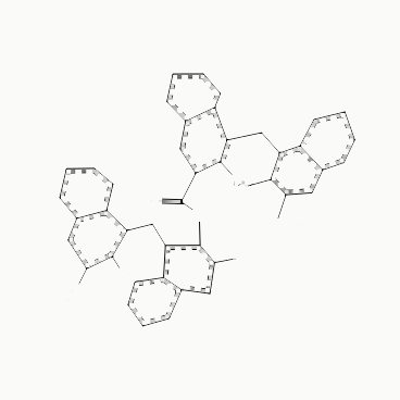 O=C(O)c1cc2ccccc2c(Cc2c(O)c(C(=O)Oc3c(C(=O)O)cc4ccccc4c3Cc3c(O)c(C(=O)O)cc4ccccc34)cc3ccccc23)c1O